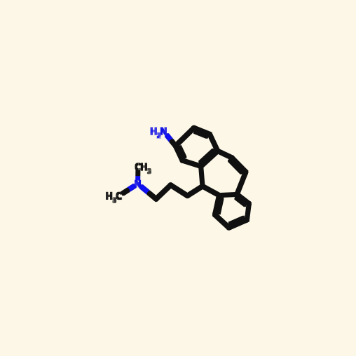 CN(C)CCCC1c2ccccc2C=Cc2ccc(N)cc21